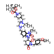 CC[C@H]1CN(Cc2ccc3c(c2)n(C)c(=O)n3C2CCC(=O)N(Cc3ccc(OC)cc3)C2=O)CCN1CC1CCN(C(=O)OC(C)(C)C)CC1